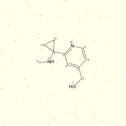 CNC1(c2cc(CO)ccn2)CC1